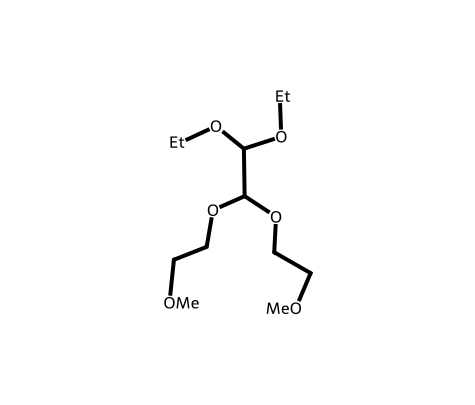 CCOC(OCC)C(OCCOC)OCCOC